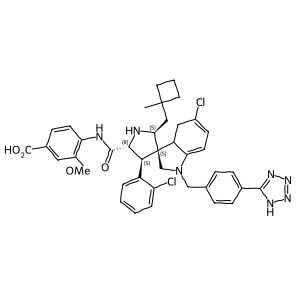 COc1cc(C(=O)O)ccc1NC(=O)[C@@H]1N[C@@H](CC2(C)CCC2)[C@@]2(CN(Cc3ccc(-c4nnn[nH]4)cc3)C3=CC=C(Cl)CC32)[C@H]1c1ccccc1Cl